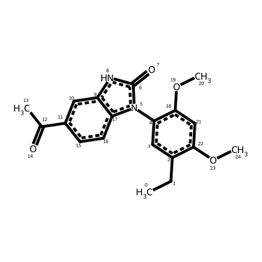 CCc1cc(-n2c(=O)[nH]c3cc(C(C)=O)ccc32)c(OC)cc1OC